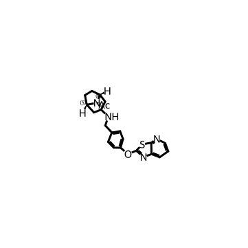 CC(=O)N1[C@@H]2CC[C@H]1CC(NCc1ccc(Oc3nc4cccnc4s3)cc1)C2